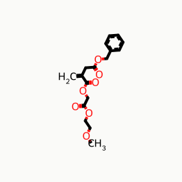 C=C(CC(=O)OCc1ccccc1)C(=O)OCC(=O)OCCOC